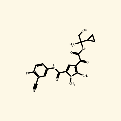 Cc1c(C(=O)C(=O)NC(C)(CO)C2CC2)cc(C(=O)Nc2ccc(F)c(C#N)c2)n1C